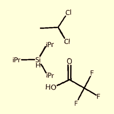 CC(C)[SiH](C(C)C)C(C)C.CC(Cl)Cl.O=C(O)C(F)(F)F